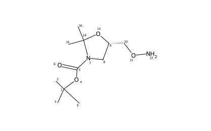 CC(C)(C)OC(=O)N1C[C@@H](CON)OC1(C)C